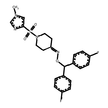 Cn1cnc(S(=O)(=O)N2CCC(=NOC(c3ccc(F)cc3)c3ccc(F)cc3)CC2)c1